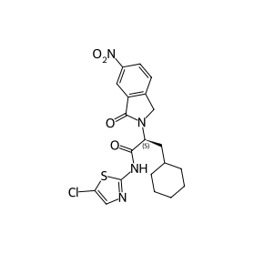 O=C(Nc1ncc(Cl)s1)[C@H](CC1CCCCC1)N1Cc2ccc([N+](=O)[O-])cc2C1=O